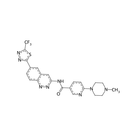 CN1CCN(c2ccc(C(=O)Nc3cc4cc(-c5nnc(C(F)(F)F)s5)ccc4nn3)cn2)CC1